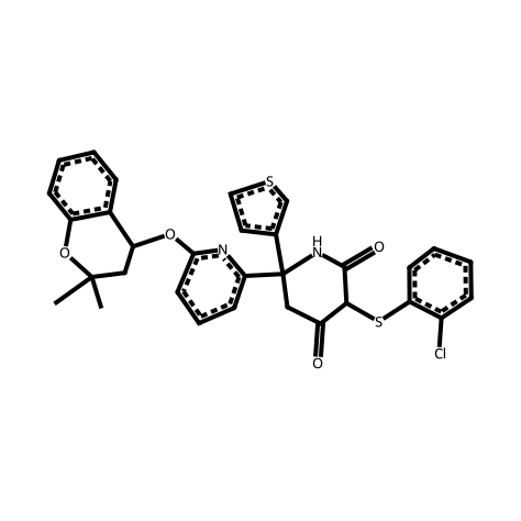 CC1(C)CC(Oc2cccc(C3(c4ccsc4)CC(=O)C(Sc4ccccc4Cl)C(=O)N3)n2)c2ccccc2O1